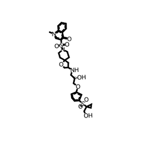 Cn1cc(S(=O)(=O)N2CCC3(CC2)CC(NC[C@H](O)COc2cccc(S(=O)(=O)C4(CO)CC4)c2)CO3)c(=O)c2ccccc21